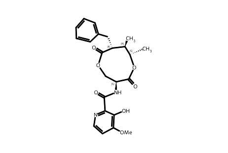 COc1ccnc(C(=O)N[C@H]2COC(=O)[C@H](Cc3ccccc3)[C@@H](C)[C@H](C)OC2=O)c1O